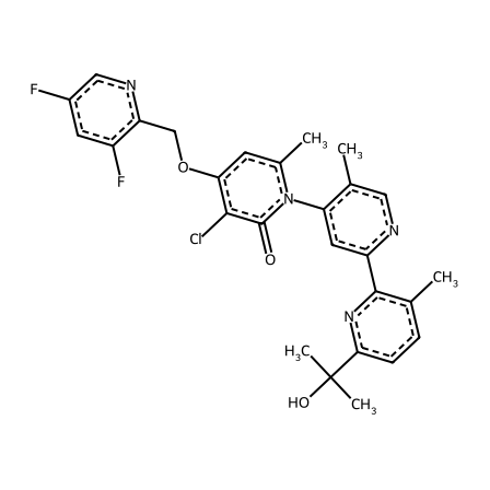 Cc1cnc(-c2nc(C(C)(C)O)ccc2C)cc1-n1c(C)cc(OCc2ncc(F)cc2F)c(Cl)c1=O